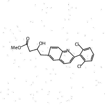 COC(=O)CC(O)Cc1ccc2nc(-c3c(Cl)cccc3Cl)ccc2c1